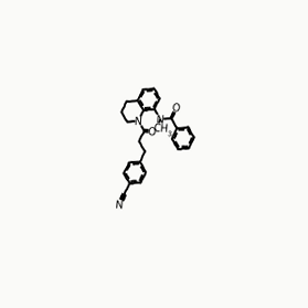 CN(C(=O)c1ccccc1)c1cccc2c1N(C(=O)CCc1ccc(C#N)cc1)CCC2